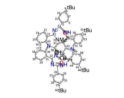 CN/C(=N\C(=N)c1ccc(C(C)(C)C)cc1)c1cccc2c3cccc(/C(=N/C(=N)c4ccc(C(C)(C)C)cc4)N(C)C)c3n(-c3cc4c(=O)c5cc(C(C)(C)C)ccc5n5c6ccc(C(C)(C)C)cc6c(=O)c(c3)c45)c12